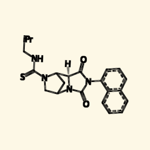 CC(C)CNC(=S)N1CC2CC1[C@H]1C(=O)N(c3cccc4ccccc34)C(=O)N21